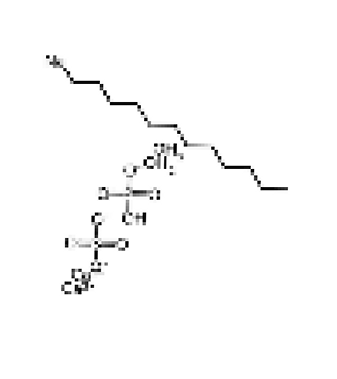 CCCCCCCCCCC[CH2][Na].O.O.O=P([O-])([O-])O.O=S(=O)([O-])[O-].[Ca+2].[Ca+2]